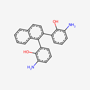 Nc1cccc(-c2ccc3ccccc3c2-c2cccc(N)c2O)c1O